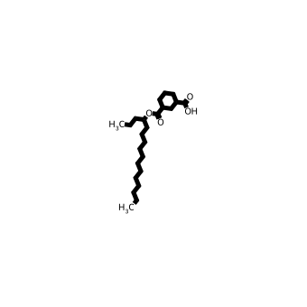 CCCCCCCCCCCCC(CCC)OC(=O)C1CCCC(C(=O)O)C1